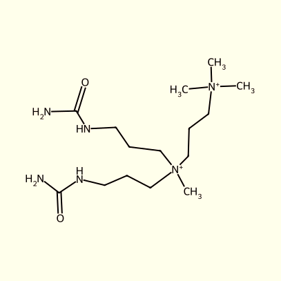 C[N+](C)(C)CCC[N+](C)(CCCNC(N)=O)CCCNC(N)=O